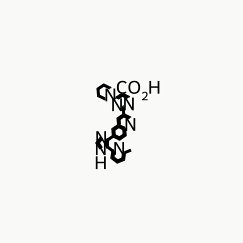 Cc1cccc(-c2[nH]cnc2-c2ccc3ncc(-c4ncc(C(=O)O)c(N5CCCCC5)n4)cc3c2)n1